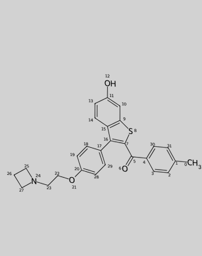 Cc1ccc(C(=O)c2sc3cc(O)ccc3c2-c2ccc(OCCN3CCC3)cc2)cc1